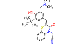 CN(C)Cc1cc(/C=C2\Sc3ccccc3N(CC#N)C2=O)cc(C(C)(C)C)c1O